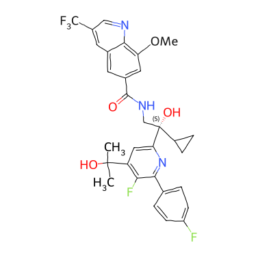 COc1cc(C(=O)NC[C@](O)(c2cc(C(C)(C)O)c(F)c(-c3ccc(F)cc3)n2)C2CC2)cc2cc(C(F)(F)F)cnc12